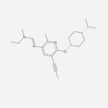 CC#Cc1cc(/N=C/N(C)CC)c(C)nc1O[C@H]1CC[C@@H](C(C)C)CC1